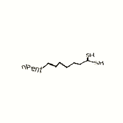 CCCCCCCCCCCC(S)S